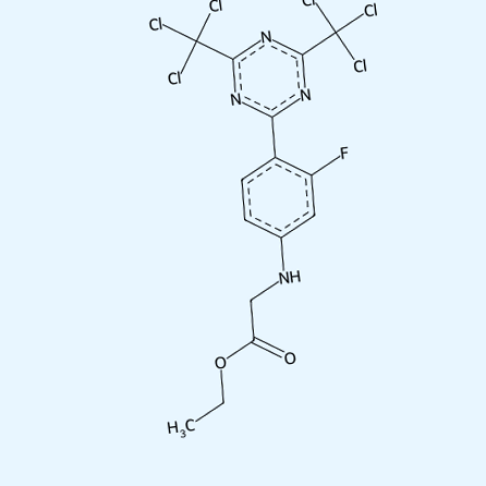 CCOC(=O)CNc1ccc(-c2nc(C(Cl)(Cl)Cl)nc(C(Cl)(Cl)Cl)n2)c(F)c1